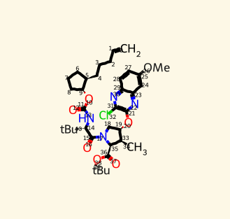 C=CCCC[C@@H]1CCC[C@H]1OC(=O)N[C@H](C(=O)N1C[C@H](Oc2nc3cc(OC)ccc3nc2Cl)[C@@H](C)[C@H]1C(=O)OC(C)(C)C)C(C)(C)C